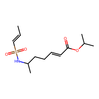 C/C=C/S(=O)(=O)NC(C)CC/C=C/C(=O)OC(C)C